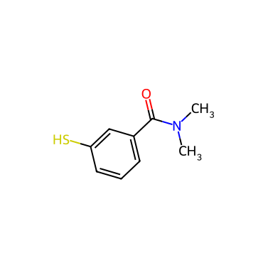 CN(C)C(=O)c1cccc(S)c1